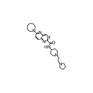 O=C(NC1CCN(CCN2CCCC2)CC1)c1ncc2nc(N3CCCCCC3)ccc2n1